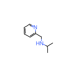 CC(C)NCc1ccccn1